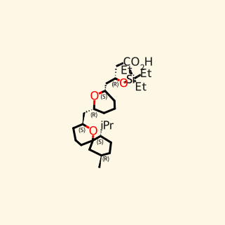 CC[Si](CC)(CC)O[C@@H](CC(=O)O)C[C@@H]1CCC[C@H](C[C@@H]2CCCC3(C[C@H](C)CC[C@H]3C(C)C)O2)O1